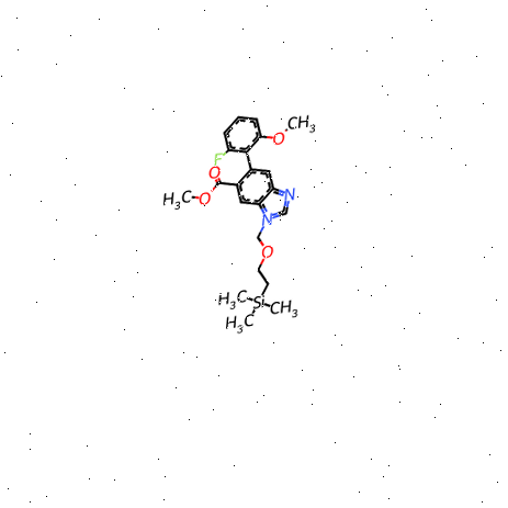 COC(=O)c1cc2c(cc1-c1c(F)cccc1OC)ncn2COCC[Si](C)(C)C